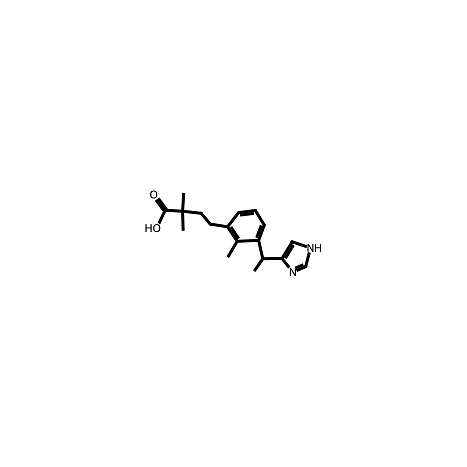 Cc1c(CCC(C)(C)C(=O)O)cccc1C(C)c1c[nH]cn1